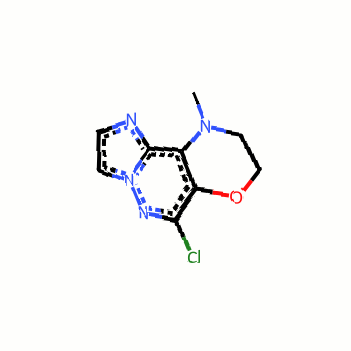 CN1CCOc2c(Cl)nn3ccnc3c21